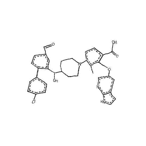 Cc1c(N2CCC(C(O)c3cc(C=O)ccc3-c3ccc(Cl)cc3)CC2)ccc(C(=O)O)c1Oc1cnc2[nH]ccc2c1